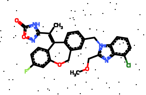 COCc1nc2c(Cl)cccc2n1Cc1ccc2c(c1)COc1cc(F)ccc1C2=C(C)c1noc(=O)[nH]1